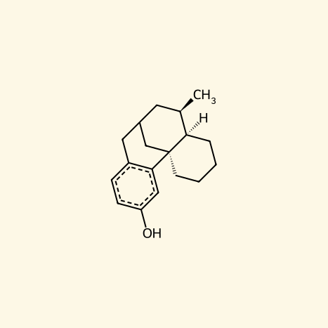 C[C@@H]1CC2Cc3ccc(O)cc3[C@@]3(CCCC[C@H]13)C2